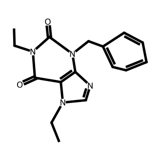 CCn1c(=O)c2c(ncn2CC)n(Cc2ccccc2)c1=O